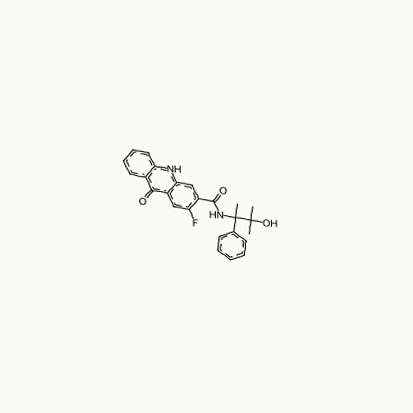 CC(C)(O)C(C)(NC(=O)c1cc2[nH]c3ccccc3c(=O)c2cc1F)c1ccccc1